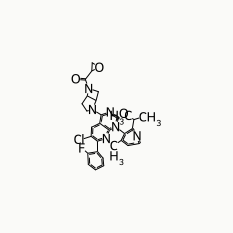 Cc1ccnc(C(C)C)c1-n1c(=O)nc(N2CCC3C2CN3C(=O)C2CO2)c2cc(Cl)c(-c3ccccc3F)nc21